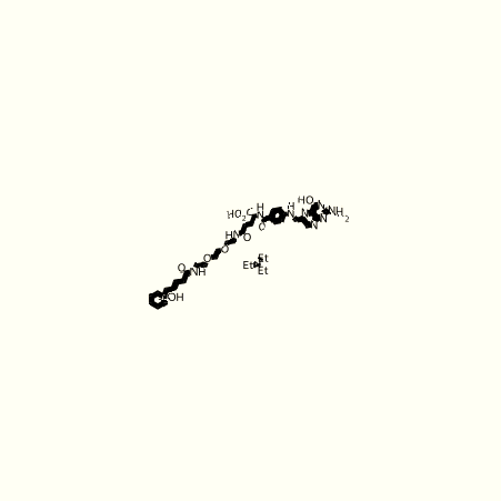 CCN(CC)CC.Nc1nc(O)c2nc(CNc3ccc(C(=O)N[C@@H](CCC(=O)NCCOCCOCCNC(=O)CCCC[Si]4(O)CCCCC4)C(=O)O)cc3)cnc2n1